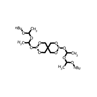 CCCCOC(C)OC(C)OP1OCC2(CO1)COP(OC(C)OC(C)OCCCC)OC2